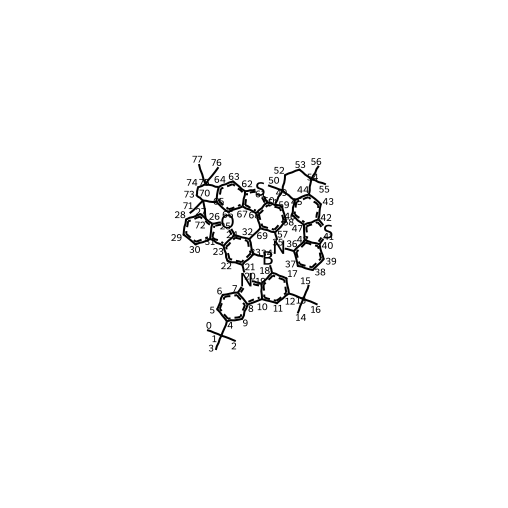 CC(C)(C)c1ccc2c(c1)c1cc(C(C)(C)C)cc3c1n2-c1cc2c(oc4ccccc42)c2c1B3N(c1cccc3sc4cc5c(cc4c13)C(C)(C)CCC5(C)C)c1ccc3sc4cc5c(cc4c3c1-2)C(C)(C)CCC5(C)C